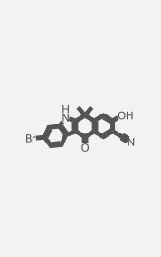 CC1(C)c2cc(O)c(C#N)cc2C(=O)c2c1[nH]c1cc(Br)ccc21